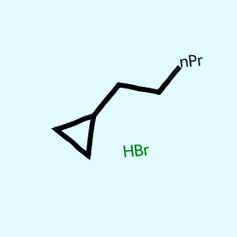 Br.CCCCCC1CC1